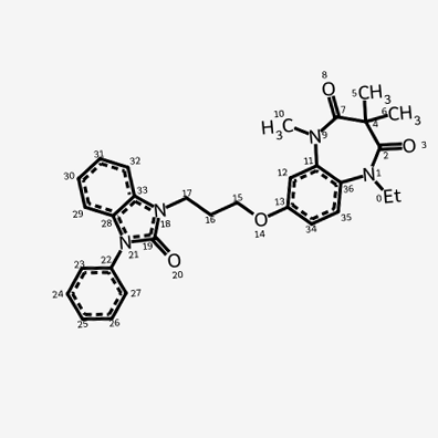 CCN1C(=O)C(C)(C)C(=O)N(C)c2cc(OCCCn3c(=O)n(-c4ccccc4)c4ccccc43)ccc21